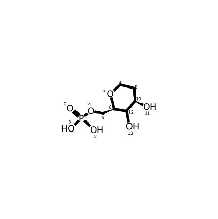 O=P(O)(O)OC[C@H]1OCC[C@@H](O)C1O